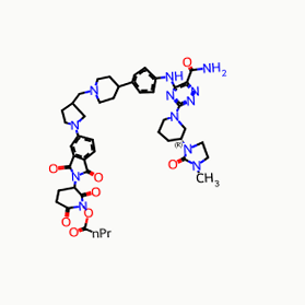 CCCC(=O)ON1C(=O)CCC(N2C(=O)c3ccc(N4CCC(CN5CCC(c6ccc(Nc7nc(N8CCC[C@@H](N9CCN(C)C9=O)C8)nnc7C(N)=O)cc6)CC5)C4)cc3C2=O)C1=O